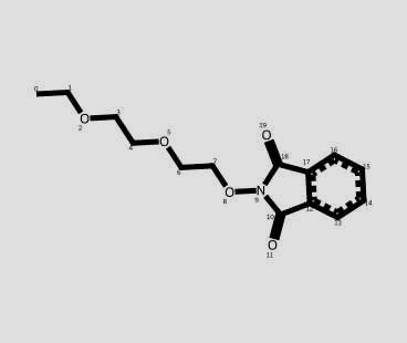 CCOCCOCCON1C(=O)c2ccccc2C1=O